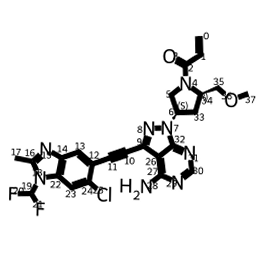 C=CC(=O)N1C[C@@H](n2nc(C#Cc3cc4nc(C)n(C(F)F)c4cc3Cl)c3c(N)ncnc32)C[C@@H]1COC